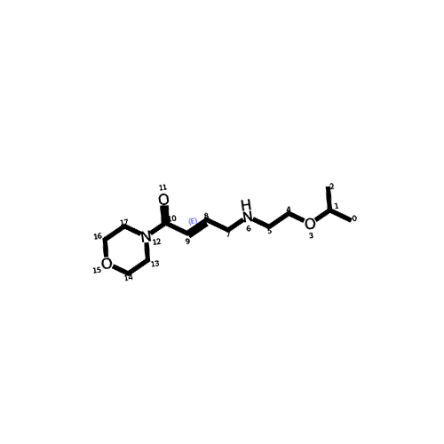 CC(C)OCCNC/C=C/C(=O)N1CCOCC1